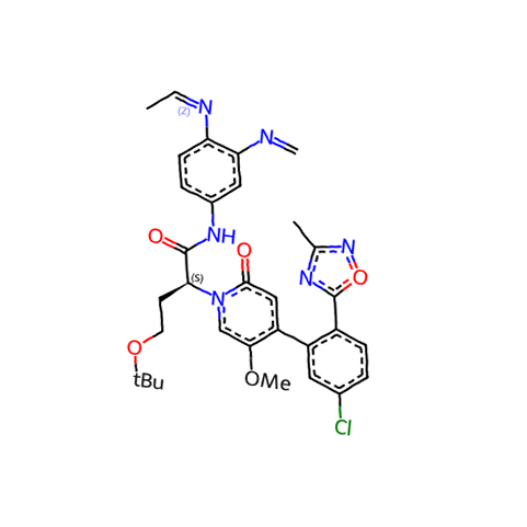 C=Nc1cc(NC(=O)[C@H](CCOC(C)(C)C)n2cc(OC)c(-c3cc(Cl)ccc3-c3nc(C)no3)cc2=O)ccc1/N=C\C